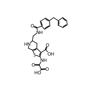 O=C(O)C(=O)Nc1sc2c(c1C(=O)O)CC(CNC(=O)c1ccc(Cc3ccccc3)cc1)NC2